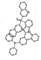 S=P(c1ccc2ccccc2c1)(c1cnc2ccccc2c1)c1cccc2c1nc1c3cc(P(c4ccccc4)c4ccccc4)ccc3c3ccccc3n21